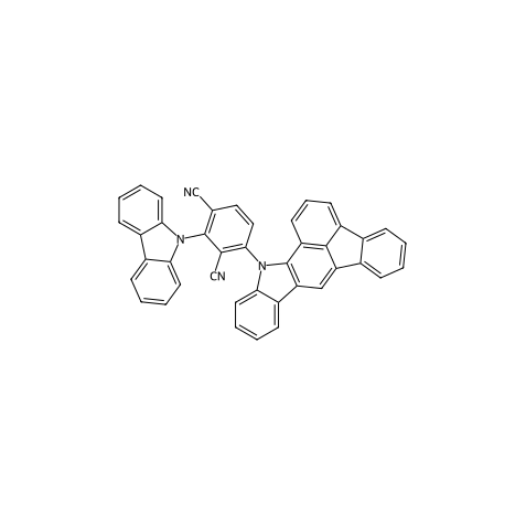 N#Cc1ccc(-n2c3ccccc3c3cc4c5c(cccc5c32)-c2ccccc2-4)c(C#N)c1-n1c2ccccc2c2ccccc21